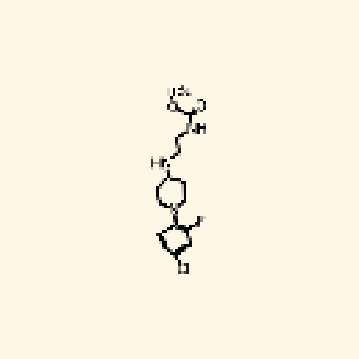 CCCCOC(=O)NCCNC1CCN(c2ccc(Cl)cc2F)CC1